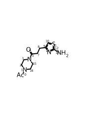 CC(=O)N1CCN(C(=O)CCc2csc(N)n2)CC1